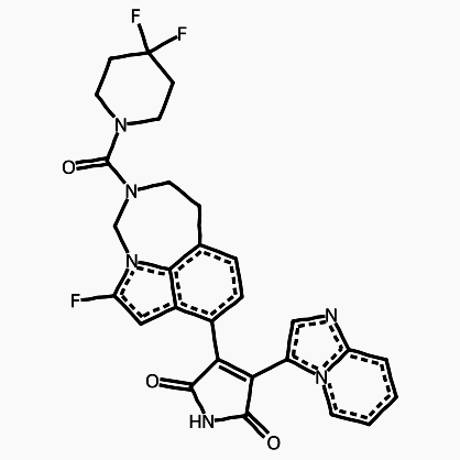 O=C1NC(=O)C(c2cnc3ccccn23)=C1c1ccc2c3c1cc(F)n3CN(C(=O)N1CCC(F)(F)CC1)CC2